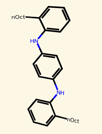 CCCCCCCCc1ccccc1Nc1ccc(Nc2ccccc2CCCCCCCC)cc1